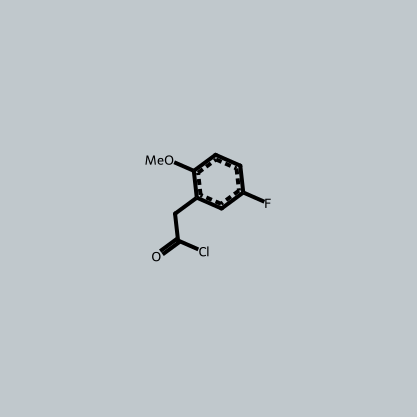 COc1ccc(F)cc1CC(=O)Cl